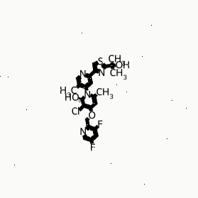 CC1=CC(OCc2ncc(F)cc2F)=C(Cl)[C@@H](O)N1c1cc(-c2csc(C(C)(C)O)n2)ncc1C